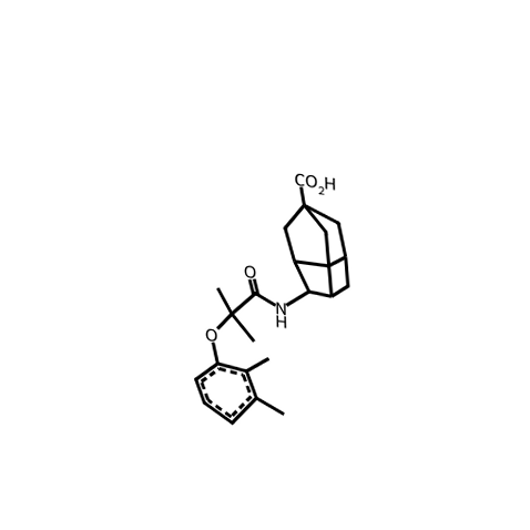 Cc1cccc(OC(C)(C)C(=O)NC2C3CC4CC2CC(C(=O)O)(C4)C3)c1C